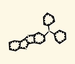 c1ccc(N(c2ccccc2)c2ccc3c(c2)sc2c4ccccc4sc32)cc1